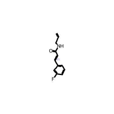 C=CCNC(=O)/C=C/c1cccc(F)c1